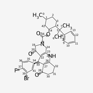 CC1CCC(C(C)(C)c2ccccc2)C(OC(=O)N2CC(=O)C3=C(C2)NC2=C(C(=O)CCC2)[C@H]3c2ccc(F)c(Br)c2)C1